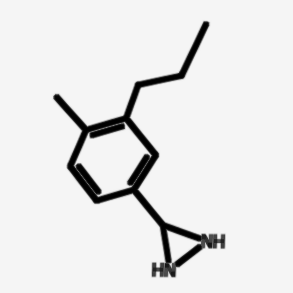 CCCc1cc(C2NN2)ccc1C